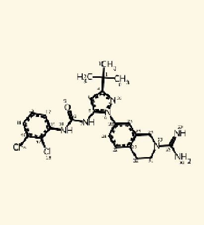 CC(C)(C)c1cc(NC(=O)Nc2cccc(Cl)c2Cl)n(-c2ccc3c(c2)CN(C(=N)N)CC3)n1